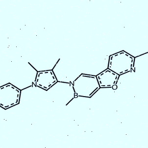 CB1C=c2oc3nc(C)ccc3c2=CN1c1cn(-c2ccccc2)c(C)c1C